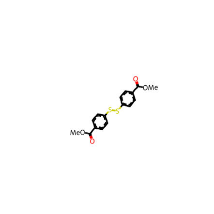 COC(=O)c1ccc(SSc2ccc(C(=O)OC)cc2)cc1